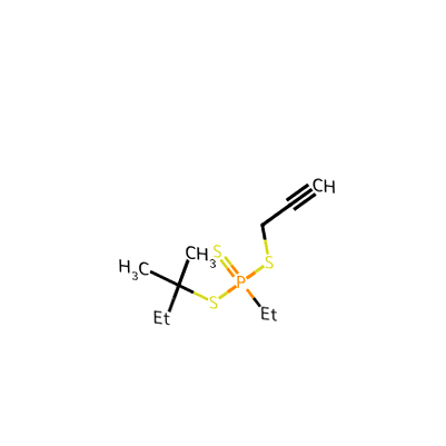 C#CCSP(=S)(CC)SC(C)(C)CC